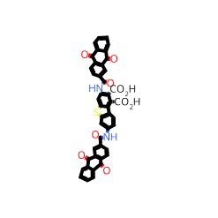 O=C(Nc1ccc2c(c1)sc1cc(NC(=O)c3ccc4c(c3)C(=O)c3ccccc3C4=O)c(C(=O)O)c(C(=O)O)c12)c1ccc2c(c1)C(=O)c1ccccc1C2=O